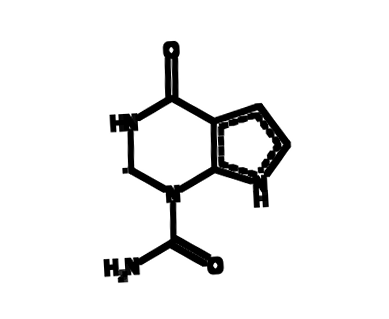 NC(=O)N1[CH]NC(=O)c2cc[nH]c21